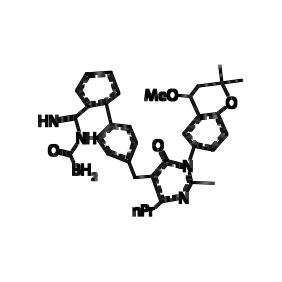 BC(=O)NC(=N)c1ccccc1-c1ccc(Cc2c(CCC)nc(C)n(-c3ccc4c(c3)C(OC)CC(C)(C)O4)c2=O)cc1